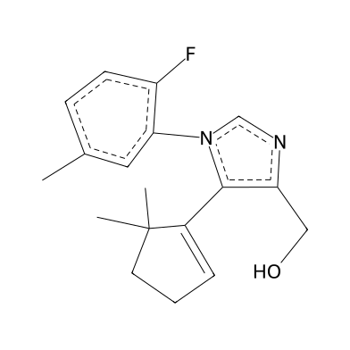 Cc1ccc(F)c(-n2cnc(CO)c2C2=CCCC2(C)C)c1